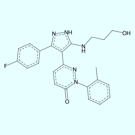 Cc1ccccc1-n1nc(-c2c(-c3ccc(F)cc3)n[nH]c2NCCCO)ccc1=O